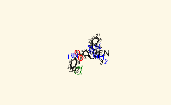 Cc1cc(S(=O)(=O)Nc2cccc(Cl)c2)ccc1-n1c(N)c(C#N)c2nc3ccccc3nc21